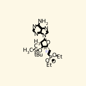 CCOP(=O)(/C=C/[C@H]1O[C@@H](n2cnc3c(N)ncnc32)CC1O[Si](C)(C)C(C)(C)C)OCC